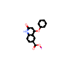 O=C(OI)c1ccc2[nH]c(=O)cc(Oc3ccccc3)c2c1